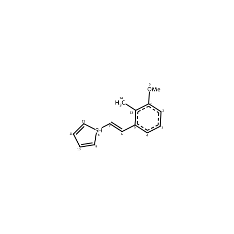 COc1cccc(C=C[SH]2C=CC=C2)c1C